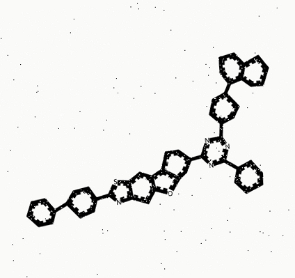 c1ccc(-c2ccc(-c3nc4cc5oc6cc(-c7nc(-c8ccccc8)nc(-c8ccc(-c9cccc%10ccccc9%10)cc8)n7)ccc6c5cc4s3)cc2)cc1